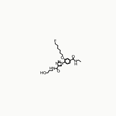 CCNC(=O)c1ccc(-n2cc(C(=O)NCCCO)nn2)c(OCCCCCCF)c1